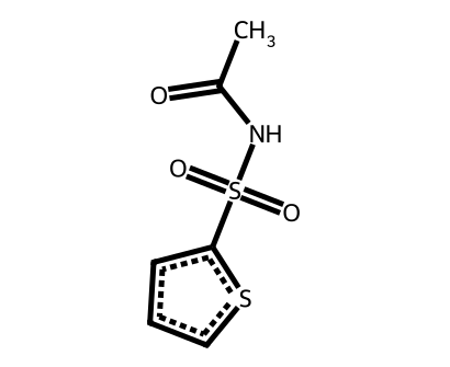 CC(=O)NS(=O)(=O)c1cccs1